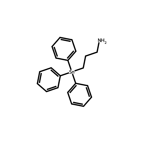 NCC[CH2][Sn]([c]1ccccc1)([c]1ccccc1)[c]1ccccc1